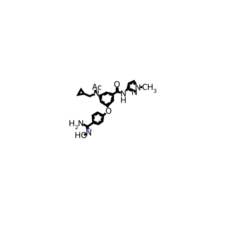 CC(=O)N(CC1CC1)c1cc(Oc2ccc(/C(N)=N/O)cc2)cc(C(=O)Nc2ccn(C)n2)c1